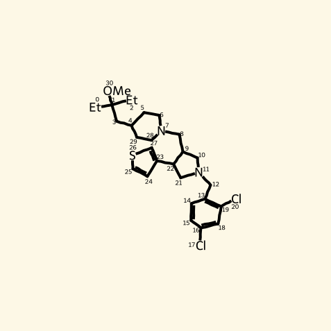 CCC(CC)(CC1CCN(CC2CN(Cc3ccc(Cl)cc3Cl)CC2c2ccsc2)CC1)OC